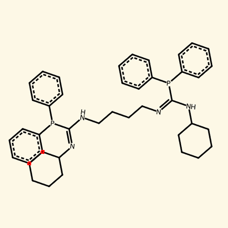 c1ccc(P(/C(=N\C2CCCCC2)NCCCC/N=C(/NC2CCCCC2)P(c2ccccc2)c2ccccc2)c2ccccc2)cc1